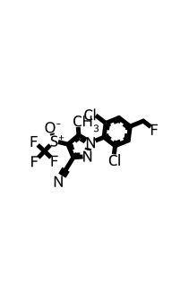 Cc1c([S+]([O-])C(F)(F)F)c(C#N)nn1-c1c(Cl)cc(CF)cc1Cl